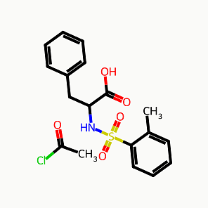 CC(=O)Cl.Cc1ccccc1S(=O)(=O)NC(Cc1ccccc1)C(=O)O